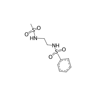 CS(=O)(=O)NCCNS(=O)(=O)c1ccccc1